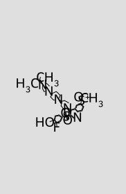 CC(C)N1CCN(C2CCN(C3CCN(c4c(S(=O)(=O)c5ccc(O)c(F)c5)cnc5ccc([S+](C)[O-])cc45)CC3)CC2)CC1